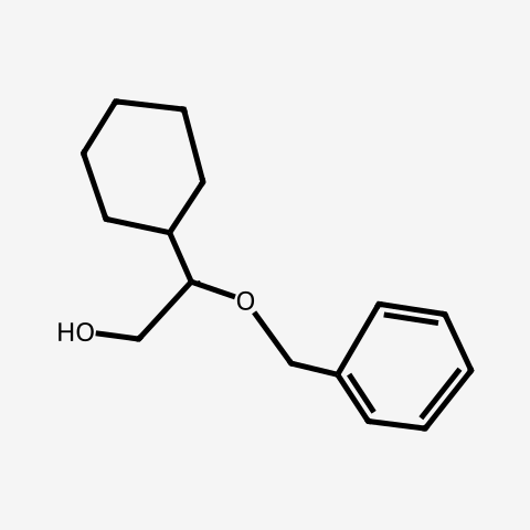 OC[C](OCc1ccccc1)C1CCCCC1